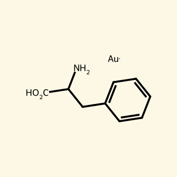 NC(Cc1ccccc1)C(=O)O.[Au]